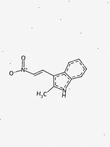 Cc1[nH]c2ccccc2c1/C=C/[N+](=O)[O-]